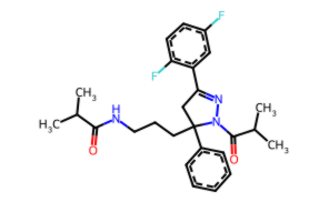 CC(C)C(=O)NCCCC1(c2ccccc2)CC(c2cc(F)ccc2F)=NN1C(=O)C(C)C